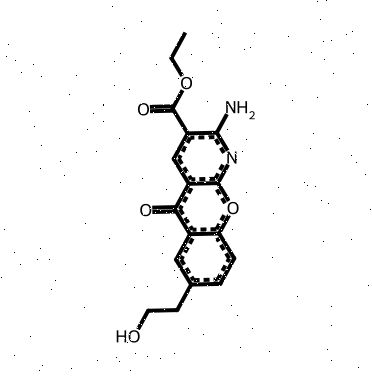 CCOC(=O)c1cc2c(=O)c3cc(CCO)ccc3oc2nc1N